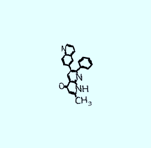 Cc1cc(=O)c2cc(-c3ccc4ncccc4c3)c(-c3ccccc3)nc2[nH]1